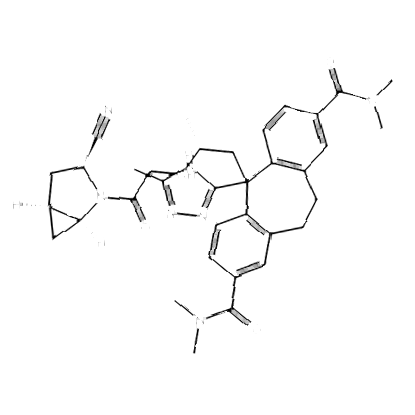 Cc1nnc(C2(C[C@@H](C)NCC(=O)N3[C@H](C#N)C[C@@H]4C[C@@H]43)c3ccc(C(=O)N(C)C)cc3CCc3cc(C(=O)N(C)C)ccc32)[nH]1